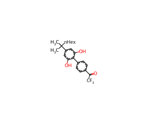 CCCCCCC(C)(C)c1cc(O)c(-c2ccc(C(=O)C(F)(F)F)cc2)c(O)c1